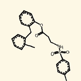 Cc1ccc(S(=O)(=O)NCCC(=O)Oc2ccccc2Cc2ccccc2C)cc1